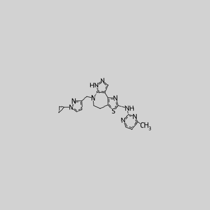 Cc1ccnc(Nc2nc3c(s2)CCN(Cc2ccn(C4CC4)n2)c2[nH]ncc2-3)n1